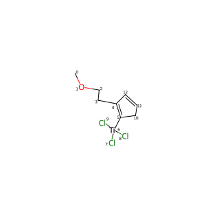 COCCC1=[C]([Ti]([Cl])([Cl])[Cl])CC=C1